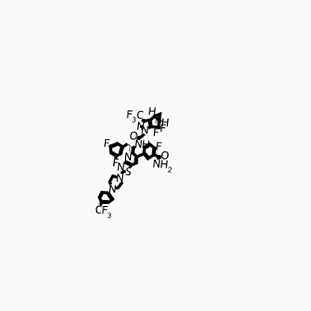 NC(=O)c1cc(-c2cc3sc(N4CCN(c5ccc(C(F)(F)F)cc5)CC4)nc3nc2[C@H](Cc2cc(F)cc(F)c2)NC(=O)Cn2nc(C(F)(F)F)c3c2C(F)(F)[C@@H]2C[C@H]32)ccc1F